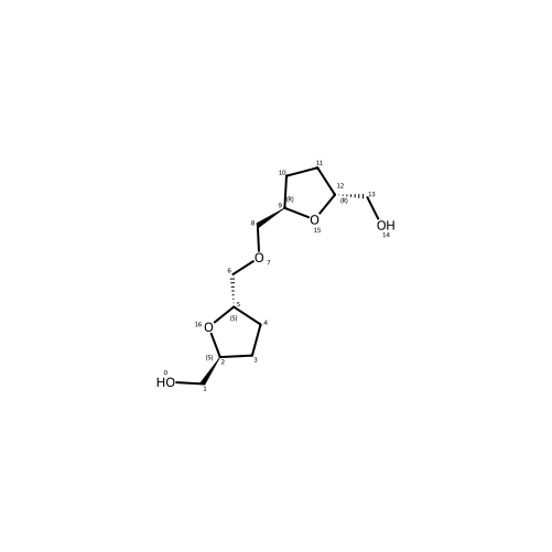 OC[C@@H]1CC[C@@H](COC[C@H]2CC[C@H](CO)O2)O1